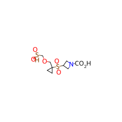 O=C(O)N1CC(S(=O)(=O)C2(COC[SH](=O)=O)CC2)C1